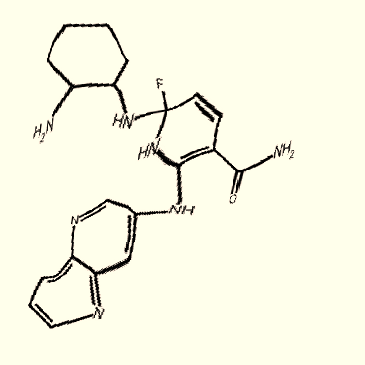 NC(=O)C1=C(Nc2cnc3cccnc3c2)NC(F)(NC2CCCCC2N)C=C1